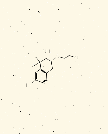 CC1(C)c2cc(O)ccc2C[C@H](SCCN)[C@H]1N